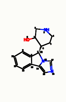 OC1CNCCC1[C@H]1c2ccccc2-c2cncn21